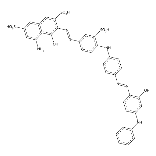 Nc1cc(S(=O)(=O)O)cc2cc(S(=O)(=O)O)c(/N=N/c3ccc(Nc4ccc(/N=N/c5ccc(Nc6ccccc6)cc5O)cc4)c(S(=O)(=O)O)c3)c(O)c12